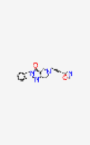 O=c1c2c(ncn1Cc1ccccc1)CCN(CC#Cc1cnco1)C2